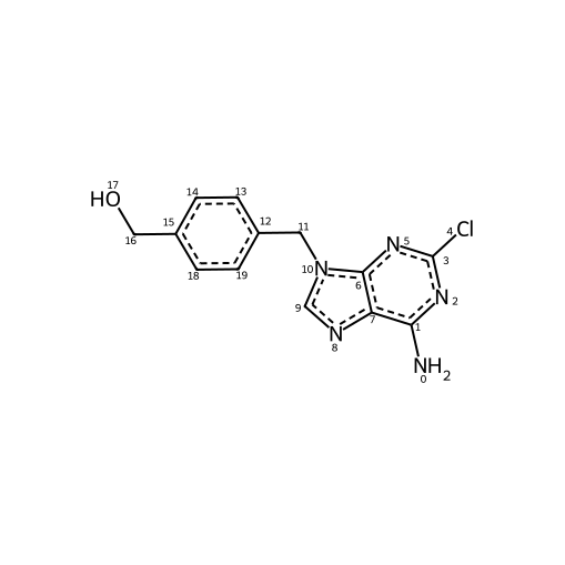 Nc1nc(Cl)nc2c1ncn2Cc1ccc(CO)cc1